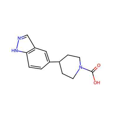 O=C(O)N1CCC(c2ccc3[nH]ncc3c2)CC1